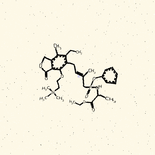 CCOC(=O)C(C)NP(=O)(C/C(C)=C/Cc1c(CC)c(C)c2c(c1OCC[Si](C)(C)C)C(=O)OC2)Oc1ccccc1